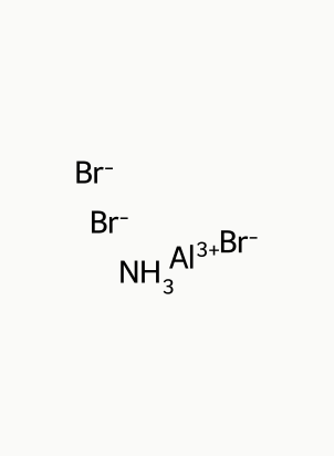 N.[Al+3].[Br-].[Br-].[Br-]